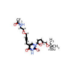 CC(C)(C)[Si](C)(C)OC[C@@H]1CC[C@H](n2cc(CC#CCOCCNC(=O)C(F)(F)F)c(=O)[nH]c2=O)O1